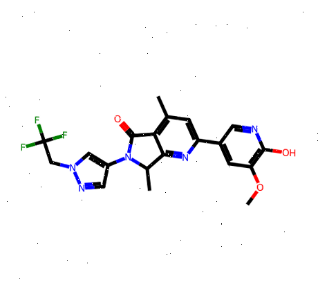 COc1cc(-c2cc(C)c3c(n2)C(C)N(c2cnn(CC(F)(F)F)c2)C3=O)cnc1O